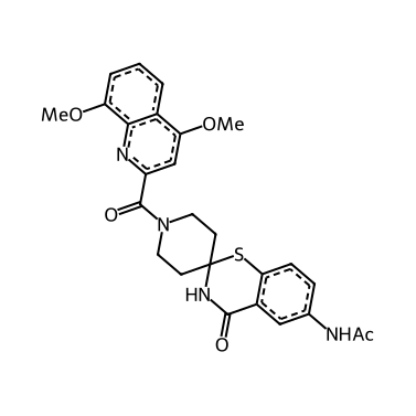 COc1cc(C(=O)N2CCC3(CC2)NC(=O)c2cc(NC(C)=O)ccc2S3)nc2c(OC)cccc12